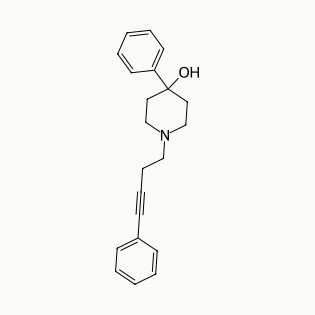 OC1(c2ccccc2)CCN(CCC#Cc2ccccc2)CC1